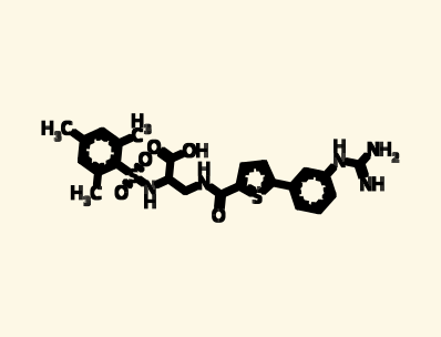 Cc1cc(C)c(S(=O)(=O)NC(CNC(=O)c2ccc(-c3cccc(NC(=N)N)c3)s2)C(=O)O)c(C)c1